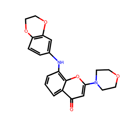 O=c1cc(N2CCOCC2)oc2c(Nc3ccc4c(c3)OCCO4)cccc12